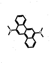 CN(C)c1cc2c3ccccc3c(N(C)C)cc2c2ccccc12